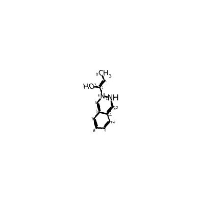 C/C=C(\O)N1C=c2ccccc2=CN1